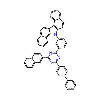 c1ccc(-c2ccc(-c3nc(-c4cccc(-n5c6ccc7ccccc7c6c6ccc7ccccc7c65)c4)nc(-c4ccc5ccccc5c4)n3)cc2)cc1